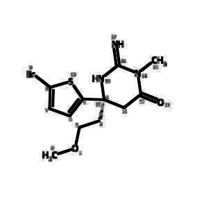 COCC[C@@]1(c2ccc(Br)s2)CC(=O)N(C)C(=N)N1